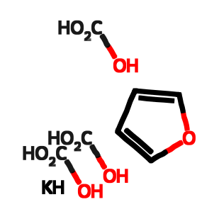 O=C(O)O.O=C(O)O.O=C(O)O.[KH].c1ccoc1